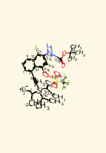 CC(C)[Si](C#Cc1cccc2c(F)c(NC(=O)OC(C)(C)C)cc(OS(=O)(=O)C(F)(F)F)c12)(C(C)C)C(C)C